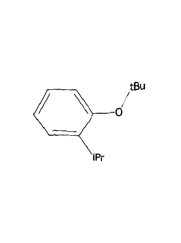 CC(C)c1ccccc1OC(C)(C)C